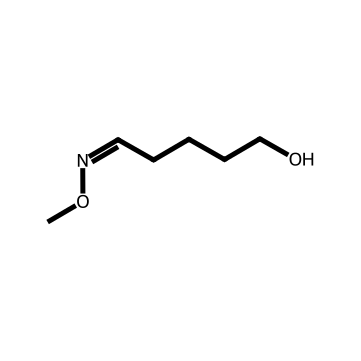 CO/N=C\CCCCO